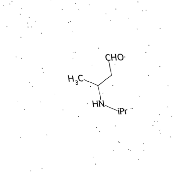 CC(C)NC(C)C[C]=O